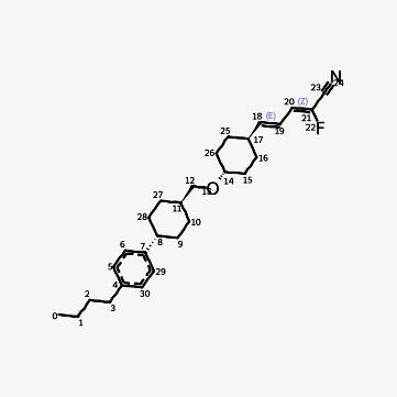 CCCCc1ccc([C@H]2CC[C@H](CO[C@H]3CC[C@H](/C=C/C=C(\F)C#N)CC3)CC2)cc1